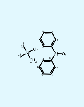 C[Si](Cl)(Cl)Cl.[O-][S+](c1ccccc1)c1ccccc1